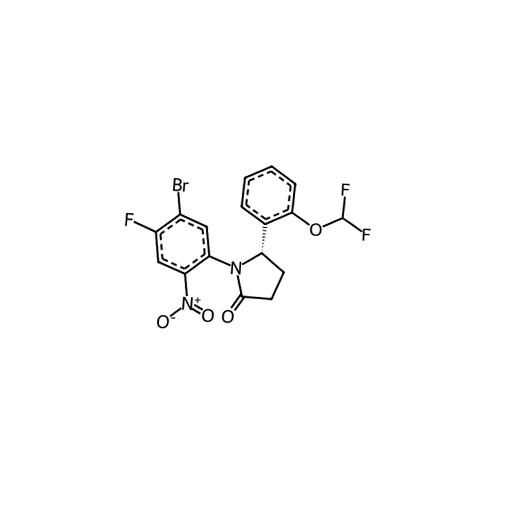 O=C1CC[C@@H](c2ccccc2OC(F)F)N1c1cc(Br)c(F)cc1[N+](=O)[O-]